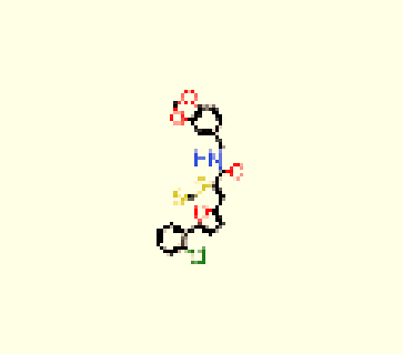 O=C(NCc1ccc2c(c1)OCO2)/C(=C/c1ccc(-c2ccccc2Cl)o1)SC=S